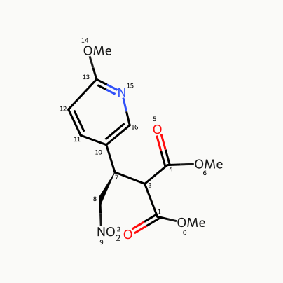 COC(=O)C(C(=O)OC)[C@@H](C[N+](=O)[O-])c1ccc(OC)nc1